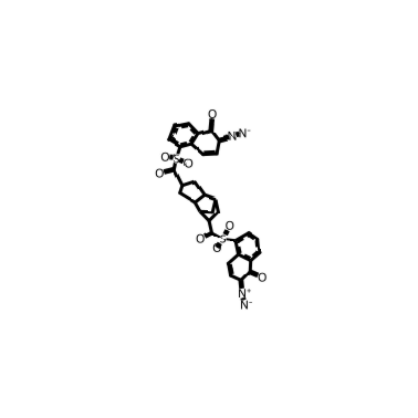 [N-]=[N+]=C1C=Cc2c(cccc2S(=O)(=O)C(=O)C2CC3C4CC(C(=O)S(=O)(=O)c5cccc6c5C=CC(=[N+]=[N-])C6=O)C(C4)C3C2)C1=O